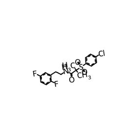 CC(C)(C(=O)NCCc1cc(F)ccc1F)S(=O)(=O)c1ccc(Cl)cc1